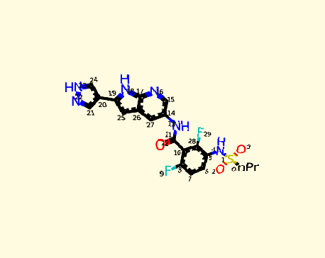 CCCS(=O)(=O)Nc1ccc(F)c(C(=O)Nc2cnc3[nH]c(-c4cn[nH]c4)cc3c2)c1F